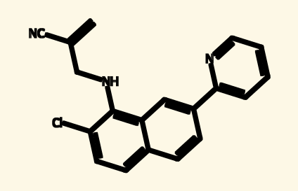 C=C(C#N)CNc1c(Cl)ccc2ccc(-c3ccccn3)cc12